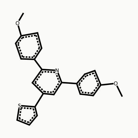 COc1ccc(-c2cc(-c3cccs3)cc(-c3ccc(OC)cc3)n2)cc1